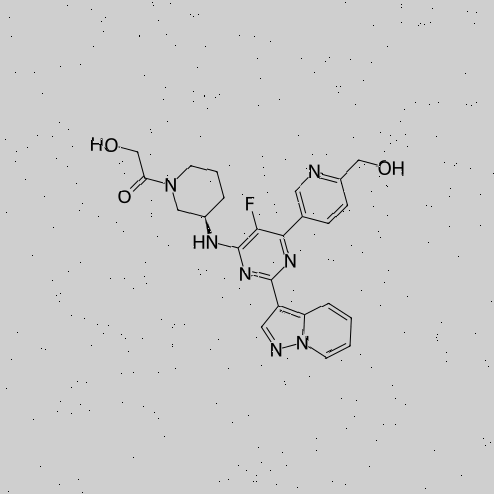 O=C(CO)N1CCC[C@@H](Nc2nc(-c3cnn4ccccc34)nc(-c3ccc(CO)nc3)c2F)C1